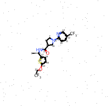 C[C@@H](NC(=O)C1CCN(c2ccc(C(F)(F)F)cn2)C1)c1ccc(OCC(F)(F)F)s1